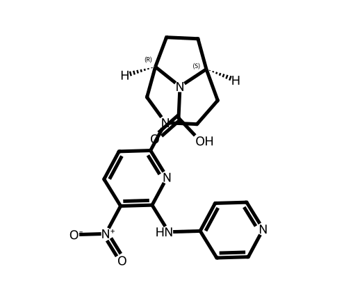 O=C(O)N1[C@H]2CC[C@@H]1CN(c1ccc([N+](=O)[O-])c(Nc3ccncc3)n1)CC2